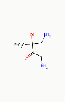 CCOC(=O)C(O)(CN)C(=O)CN